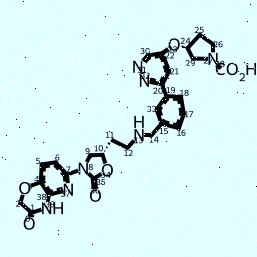 O=C1COc2ccc(N3C[C@H](CCNCc4cccc(-c5cc(O[C@@H]6CCN(C(=O)O)C6)cnn5)c4)OC3=O)nc2N1